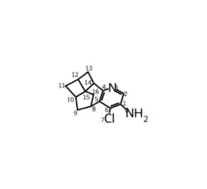 Nc1cnc2c(c1Cl)C1CC3CC4CC2C34C1